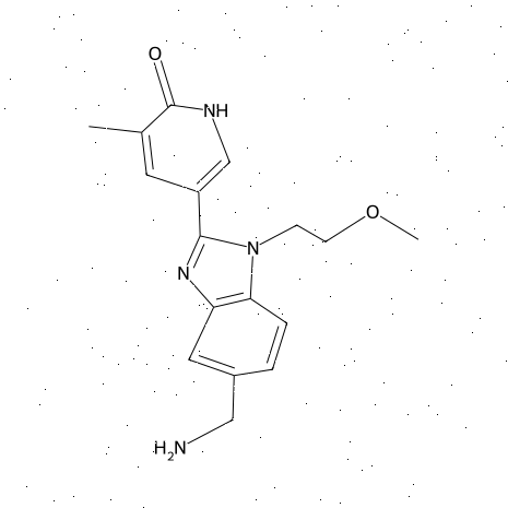 COCCn1c(-c2c[nH]c(=O)c(C)c2)nc2cc(CN)ccc21